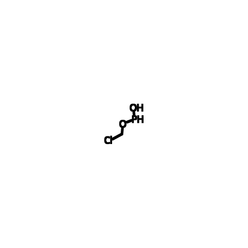 OPOCCl